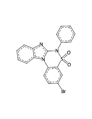 O=S1(=O)c2cc(Br)ccc2-n2c(nc3ccccc32)N1c1ccccc1